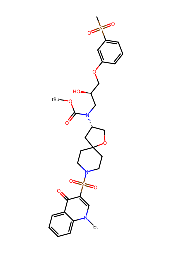 CCn1cc(S(=O)(=O)N2CCC3(CC2)C[C@H](N(C[C@@H](O)COc2cccc(S(C)(=O)=O)c2)C(=O)OC(C)(C)C)CO3)c(=O)c2ccccc21